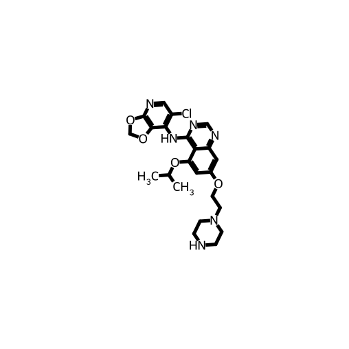 CC(C)Oc1cc(OCCN2CCNCC2)cc2ncnc(Nc3c(Cl)cnc4c3OCO4)c12